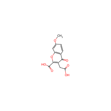 COc1ccc2c(=O)c(CC(=O)O)c(C(=O)O)oc2c1